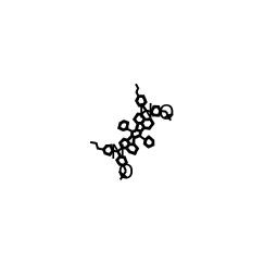 CCCc1ccc(N(c2ccc(OC(C)(C)C)cc2)c2ccc3c4c(-c5ccccc5)c5c6ccc(N(c7ccc(CCC)cc7)c7ccc(OC(C)(C)C)cc7)c7cccc(c5c(-c5ccccc5)c4c4cccc2c43)c76)cc1